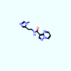 Cn1cncc1CCNC(=O)c1cnn2cccnc12